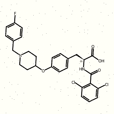 O=C(N[C@@H](Cc1ccc(OC2CCN(Cc3ccc(F)cc3)CC2)cc1)C(=O)O)c1c(Cl)cccc1Cl